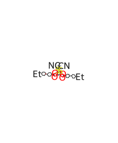 CCC1CCC(C2CCC(C(=O)Oc3ccc(OC(=O)C4CCC(C5CCC(CC)CC5)CC4)c4c3SC(=C(C#N)C#N)S4)CC2)CC1